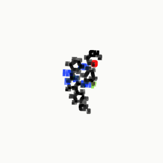 C=CC(=O)Nc1ccc(F)c(Nc2nc(Nc3ccccc3)ncc2-c2ccc(C(F)(F)F)cc2)c1